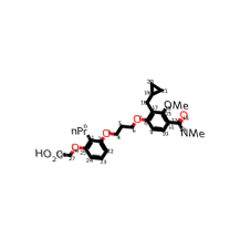 CCCc1c(OCCCOc2ccc(C(=O)NC)c(OC)c2CC2CC2)cccc1OCC(=O)O